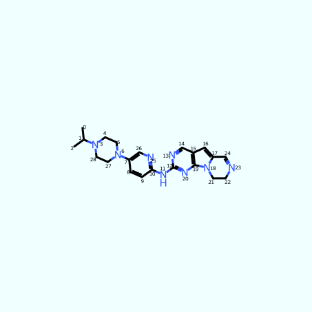 CC(C)N1CCN(c2ccc(Nc3ncc4cc5n(c4n3)CCN=C5)nc2)CC1